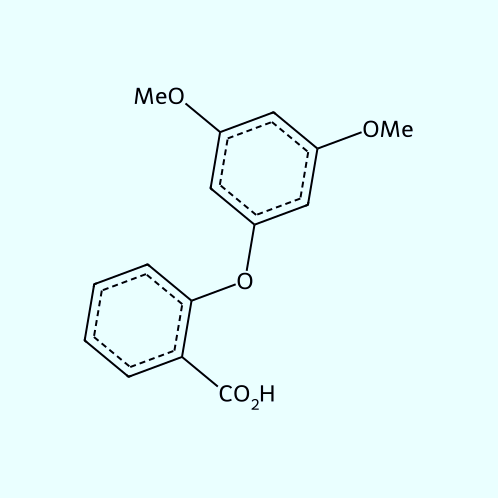 COc1cc(OC)cc(Oc2ccccc2C(=O)O)c1